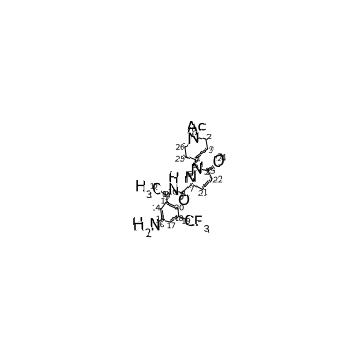 CC(=O)N1CC=C(n2nc(C(=O)N[C@H](C)c3cc(N)cc(C(F)(F)F)c3)ccc2=O)CC1